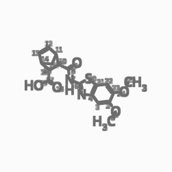 COc1cc2nc(NC(=O)[C@@H]3C4C=CC(C4)[C@@H]3C(=O)O)sc2cc1OC